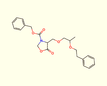 CC(COCC1C(=O)OCN1C(=O)OCc1ccccc1)OCCc1ccccc1